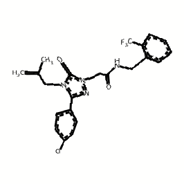 C=C(C)Cn1c(-c2ccc(Cl)cc2)nn(CC(=O)NCc2ccccc2C(F)(F)F)c1=O